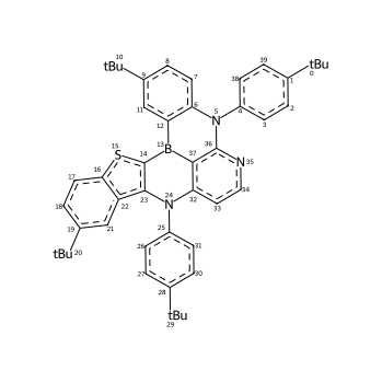 CC(C)(C)c1ccc(N2c3ccc(C(C)(C)C)cc3B3c4sc5ccc(C(C)(C)C)cc5c4N(c4ccc(C(C)(C)C)cc4)c4ccnc2c43)cc1